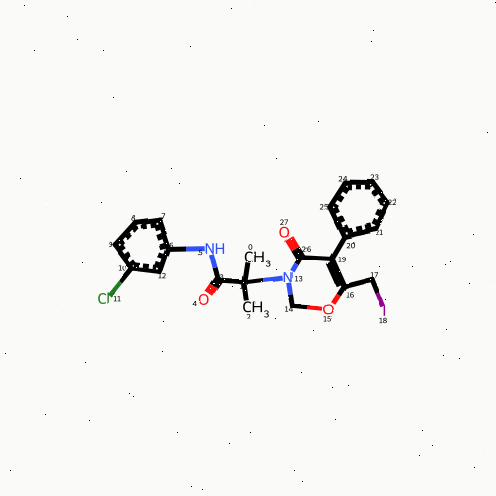 CC(C)(C(=O)Nc1cccc(Cl)c1)N1COC(CI)=C(c2ccccc2)C1=O